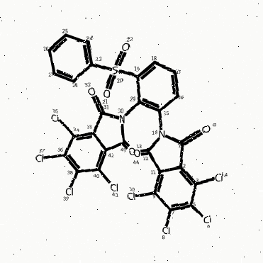 O=C1c2c(Cl)c(Cl)c(Cl)c(Cl)c2C(=O)N1c1cccc(S(=O)(=O)c2ccccc2)c1N1C(=O)c2c(Cl)c(Cl)c(Cl)c(Cl)c2C1=O